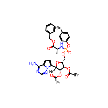 CC(C)C(=O)O[C@H]1[C@@H](OC(=O)C(C)C)[C@](C#N)(c2ccc3c(N)ncnn23)O[C@@H]1COP(=O)(N[C@@H](C)C(=O)OCc1ccccc1)Oc1ccc(C(C)(C)C)cc1